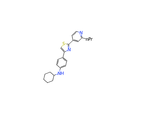 CCCc1cc(-c2nc(-c3ccc(NC4CCCCC4)cc3)cs2)ccn1